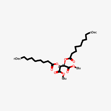 CCCCCCCCCCCCCCCCCC(=O)O[C@@H](C(=O)OC(C)(C)C)[C@@H](OC(=O)CCCCCCCCCCCCCCCCC)C(=O)OC(C)(C)C